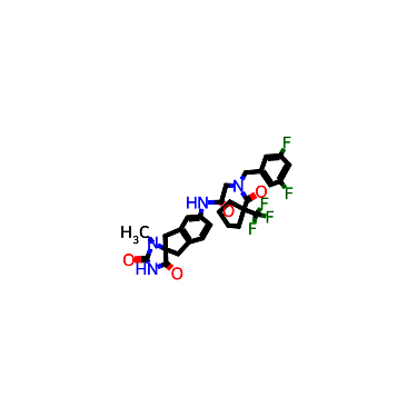 CN1C(=O)NC(=O)C12Cc1ccc(NC(=O)CN(Cc3cc(F)cc(F)c3)C(=O)C3(C(F)(F)F)CCCC3)cc1C2